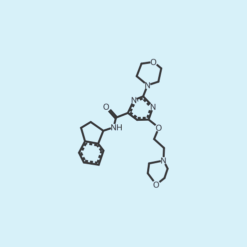 O=C(NC1CCc2ccccc21)c1cc(OCCN2CCOCC2)nc(N2CCOCC2)n1